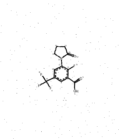 O=C(O)c1cc(C(F)(F)F)cc(N2CCCC2=O)c1F